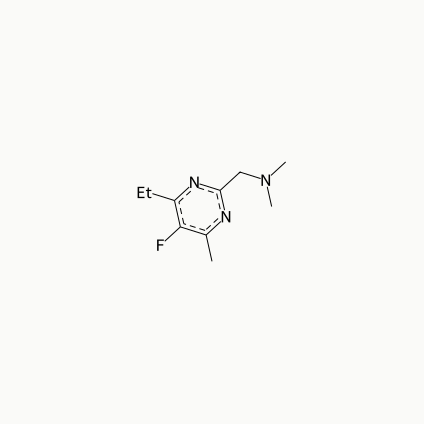 CCc1nc(CN(C)C)nc(C)c1F